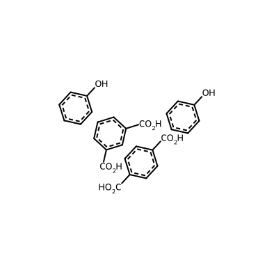 O=C(O)c1ccc(C(=O)O)cc1.O=C(O)c1cccc(C(=O)O)c1.Oc1ccccc1.Oc1ccccc1